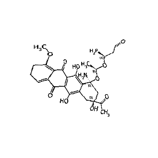 COC1=C2C(=O)c3c(O)c4c(c(O)c3C(=O)C2=CCC1)C[C@@](O)(C(C)=O)C[C@]4(N)O[C@@H](C)O[C@@H](P)CC=O